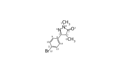 CC1C(=O)N(C)N=C1c1ccc(Br)cc1